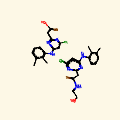 Cc1cccc(Nc2cc(Cl)nc(CC(=S)NCCO)n2)c1C.Cc1cccc(Nc2cc(Cl)nc(CC(O)=S)n2)c1C